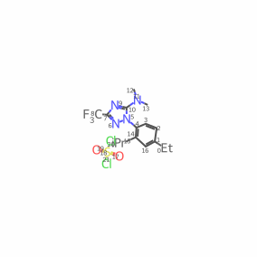 CCc1ccc(-n2nc(C(F)(F)F)nc2N(C)C)c(C(C)C)c1.O=S(=O)(Cl)Cl